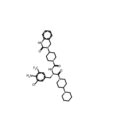 Nc1c(Cl)cc(C[C@@H](NC(=O)N2CCC(N3Cc4ccccc4NC3=O)CC2)C(=O)N2CCC(N3CCCCC3)CC2)cc1C(F)(F)F